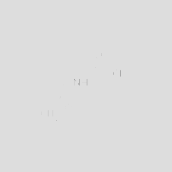 C=CC(=O)C1CCCC(C(=O)C=C)N1